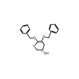 O[C@@H]1CO[C@@H](OCc2ccccc2)[C@@H](OCc2ccccc2)C1